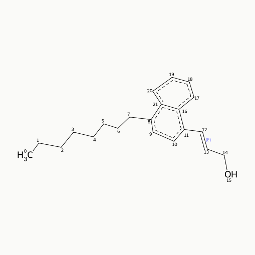 CCCCCCCCc1ccc(/C=C/CO)c2ccccc12